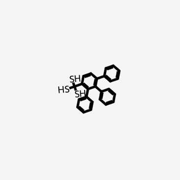 SC(S)(S)c1ccc(-c2ccccc2)c(-c2ccccc2)c1-c1ccccc1